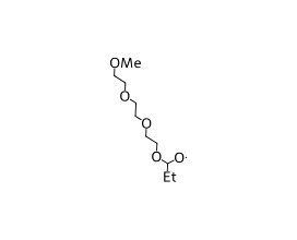 CCC([O])OCCOCCOCCOC